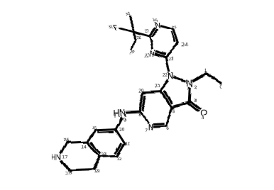 CCn1c(=O)c2cnc(Nc3ccc4c(c3)CNCC4)cc2n1-c1ccnc(C(C)(C)F)n1